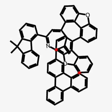 C=C1CC(c2cccc3oc4cccc(-c5cccc6oc7ccccc7c56)c4c23)=CC(c2cccc3c2-c2ccccc2C3(C)C)=NC1c1ccc2c3ccccc3c3ccccc3c2c1